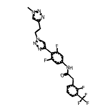 Cn1cc(CCn2cc(-c3c(F)cc(NC(=O)Cc4cccc(C(F)(F)F)c4F)cc3F)nn2)nn1